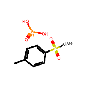 COS(=O)(=O)c1ccc(C)cc1.O=[PH](O)O